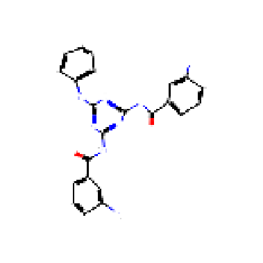 Nc1cccc(C(=O)Nc2nc(NC(=O)c3cccc(N)c3)nc(Nc3ccccc3)n2)c1